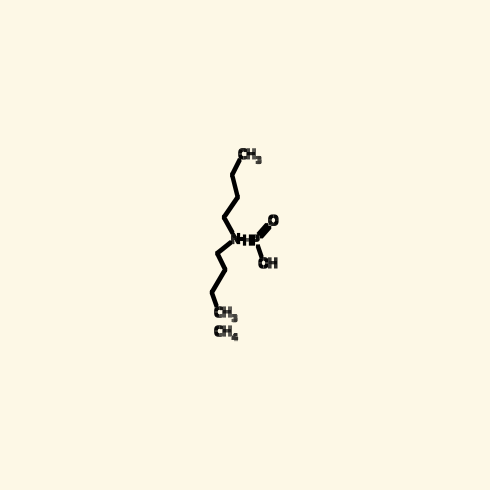 C.CCCCN(CCCC)[PH](=O)O